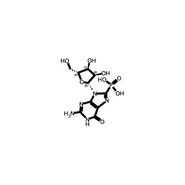 Nc1nc2c(nc(P(=O)(O)O)n2[C@@H]2O[C@H](CO)[C@@H](O)[C@H]2O)c(=O)[nH]1